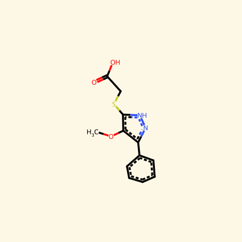 COc1c(-c2ccccc2)n[nH]c1SCC(=O)O